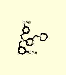 COc1cccc(CN(Cc2cccc(OC)c2)c2ccnc(CN3CCCCC3)c2)c1